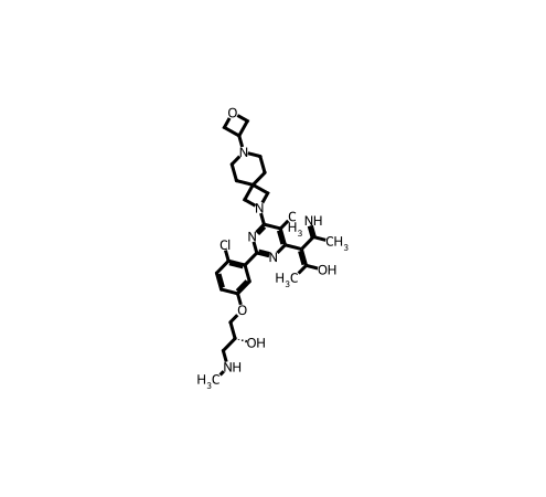 CNC[C@@H](O)COc1ccc(Cl)c(-c2nc(/C(C(C)=N)=C(\C)O)c(C)c(N3CC4(CCN(C5COC5)CC4)C3)n2)c1